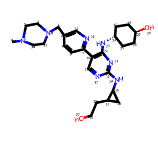 CN1CCN(Cc2ccc(-c3cnc(NC4CC4CCO)nc3N[C@H]3CC[C@H](O)CC3)nc2)CC1